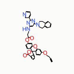 C#CCCOc1ccc2c(c1)Oc1cc(OC(=O)CCNc3cc(N4CCc5ccccc5CC4)nc(-c4cccnc4)n3)ccc1C21OC(=O)c2ccccc21